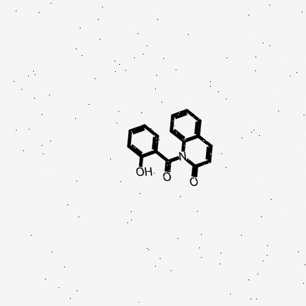 O=C(c1ccccc1O)n1c(=O)ccc2ccccc21